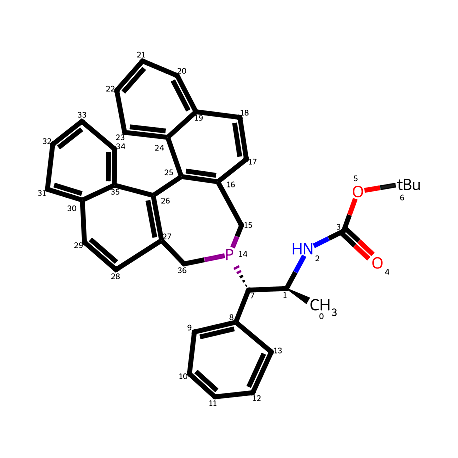 C[C@H](NC(=O)OC(C)(C)C)[C@H](c1ccccc1)P1Cc2ccc3ccccc3c2-c2c(ccc3ccccc23)C1